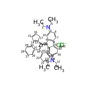 CCN(CC)c1ccc2c(c1)[CH]([Zr+2]([C]1=CC=CC1)=[C](c1ccccc1)c1ccccc1)c1cc(N(CC)CC)ccc1-2.[Cl-].[Cl-]